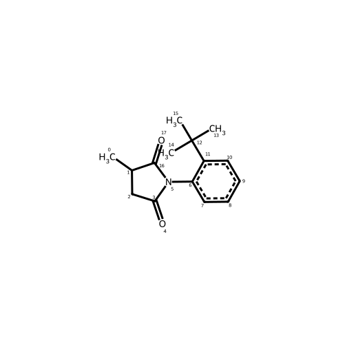 CC1CC(=O)N(c2ccccc2C(C)(C)C)C1=O